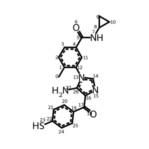 Cc1ccc(C(=O)NC2CC2)cc1-n1cnc(C(=O)c2ccc(S)cc2)c1N